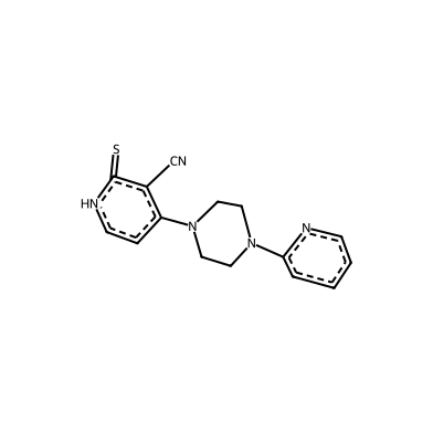 N#Cc1c(N2CCN(c3ccccn3)CC2)cc[nH]c1=S